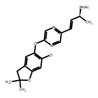 CC(=O)N[C@@H](C)/C=C/c1cnc(Oc2cc3c(cc2Cl)OC(C)(C)C3)cn1